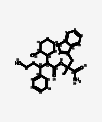 CC(Cc1c[nH]c2ccccc12)(OC(=O)N(C(CCO)c1ccccc1)C1CCCCC1Cl)C(N)=O